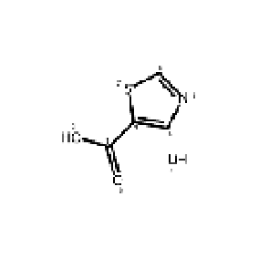 O=C(O)c1cncs1.[LiH]